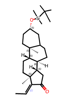 C/C=C1/C(=O)C[C@H]2[C@@H]3CCC4C[C@@H](O[Si](C)(C)C(C)(C)C)CC[C@]4(C)[C@H]3CC[C@]12C